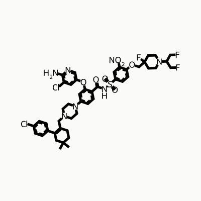 CC1(C)CCC(CN2CCN(c3ccc(C(=O)NS(=O)(=O)c4ccc(OCC5(F)CCN(C(CF)CF)CC5)c([N+](=O)[O-])c4)c(Oc4cnc(N)c(Cl)c4)c3)CC2)=C(c2ccc(Cl)cc2)C1